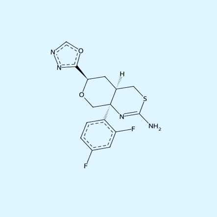 NC1=N[C@@]2(c3ccc(F)cc3F)CO[C@@H](c3nnco3)C[C@H]2CS1